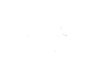 O=C1CCCCCC=CCCCCCCCCC1=O